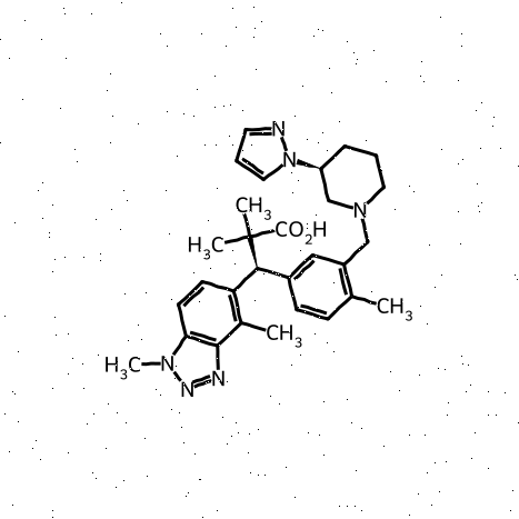 Cc1ccc([C@@H](c2ccc3c(nnn3C)c2C)C(C)(C)C(=O)O)cc1CN1CCC[C@H](n2cccn2)C1